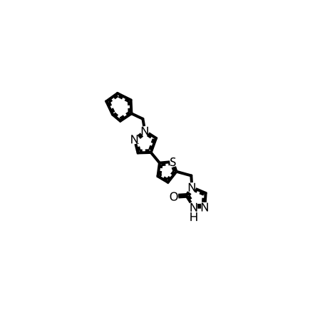 O=c1[nH]ncn1Cc1ccc(-c2cnn(Cc3ccccc3)c2)s1